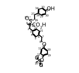 C[C@@](Cc1ccc(CCOc2ccc(OS(C)(=O)=O)cc2)cc1)(C(=O)O)[S+]([O-])CCc1ccc(O)cc1